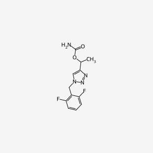 CC(OC(N)=O)c1cn(Cc2c(F)cccc2F)nn1